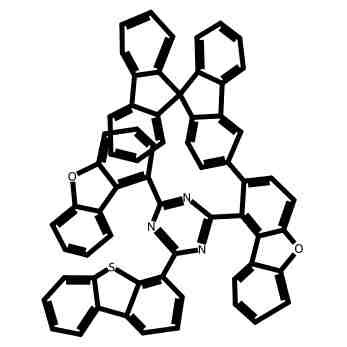 c1ccc2c(c1)-c1ccccc1C21c2ccccc2-c2cc(-c3ccc4oc5ccccc5c4c3-c3nc(-c4cccc5c4sc4ccccc45)nc(-c4cccc5oc6ccccc6c45)n3)ccc21